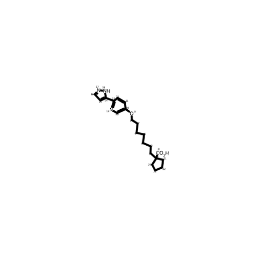 O=C(O)C1(CCCCCCCOc2ccc(-c3ccn[nH]3)nc2)CCCC1